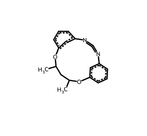 CC1CC(C)Oc2cccc(c2)N=C=Nc2cccc(c2)O1